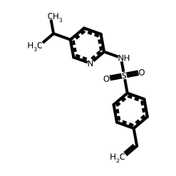 C=Cc1ccc(S(=O)(=O)Nc2ccc(C(C)C)cn2)cc1